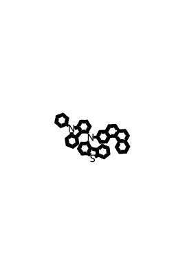 c1ccc(-n2c3ccccc3c3c(N(c4ccc5c(ccc6ccc7ccccc7c65)c4)c4cccc5sc6ccccc6c45)cccc32)cc1